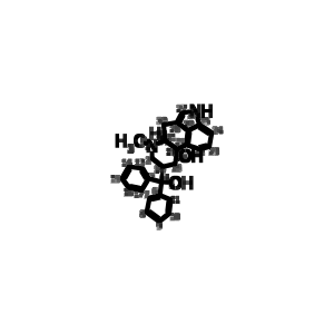 CN1C[C@H](C(O)(c2ccccc2)c2ccccc2)C[C@]2(O)c3cccc4[nH]cc(c34)C[C@@H]12